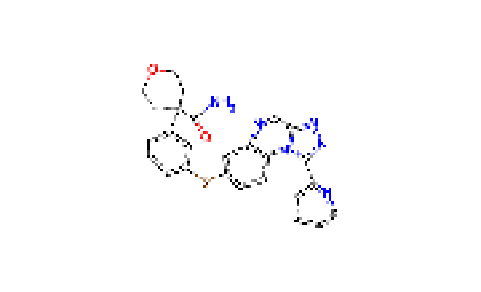 NC(=O)C1(c2cccc(Sc3ccc4c(c3)ncc3nnc(-c5ccccn5)n34)c2)CCOCC1